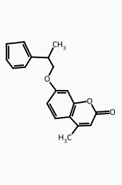 Cc1cc(=O)oc2cc(OCC(C)c3ccccc3)ccc12